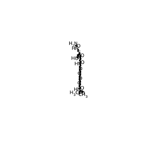 CC(C)[C@@H](C=O)NC(=O)CCOCCOCCOCCOCCNC(=O)CCN1C(=O)C(SCCNC(=O)CN)=CC1O